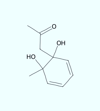 CC(=O)CC1(O)C=CC=CC1(C)O